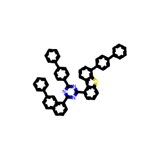 c1ccc(-c2ccc(-c3nc(-c4cccc5ccc(-c6ccccc6)cc45)nc(-c4cccc5sc6c(-c7ccc(-c8ccccc8)cc7)cccc6c45)n3)cc2)cc1